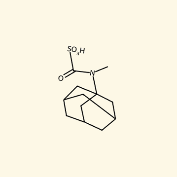 CN(C(=O)S(=O)(=O)O)C12CC3CC(CC(C3)C1)C2